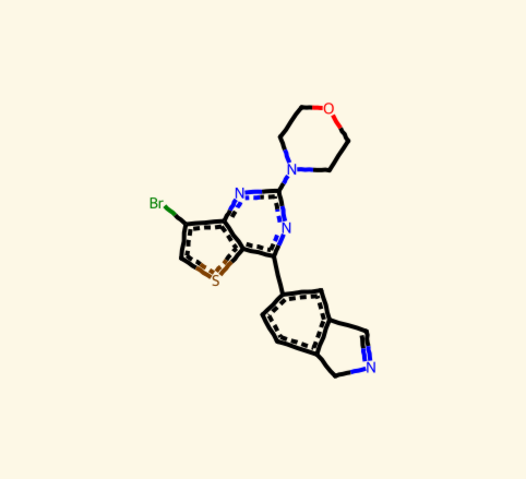 Brc1csc2c(-c3ccc4c(c3)C=NC4)nc(N3CCOCC3)nc12